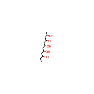 CCC(O)CC(O)CC(O)CC(O)CC(C)O